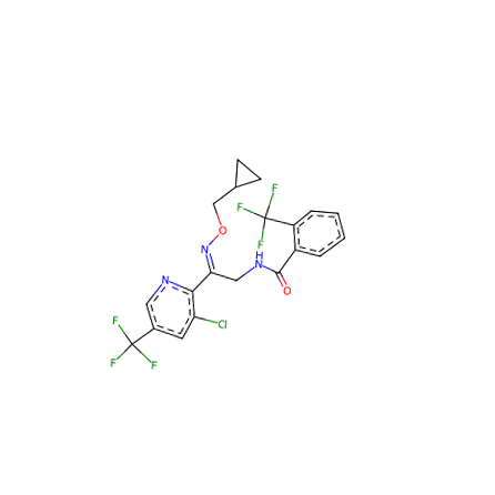 O=C(NCC(=NOCC1CC1)c1ncc(C(F)(F)F)cc1Cl)c1ccccc1C(F)(F)F